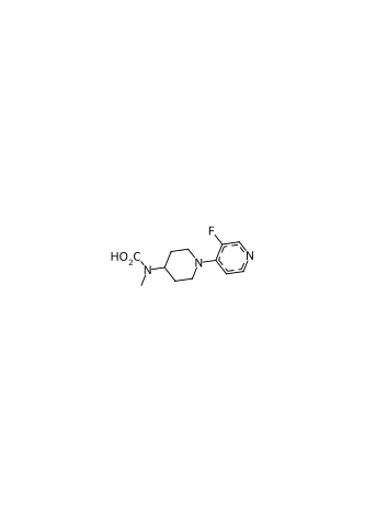 CN(C(=O)O)C1CCN(c2ccncc2F)CC1